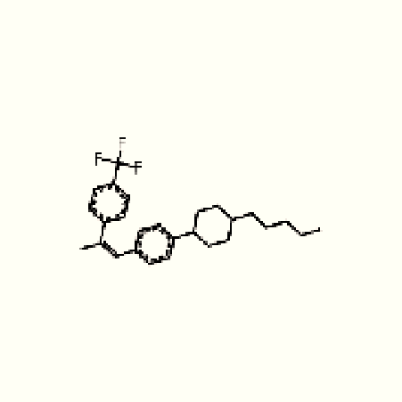 CCCCCC1CCC(c2ccc(C=C(C)c3ccc(C(F)(F)F)cc3)cc2)CC1